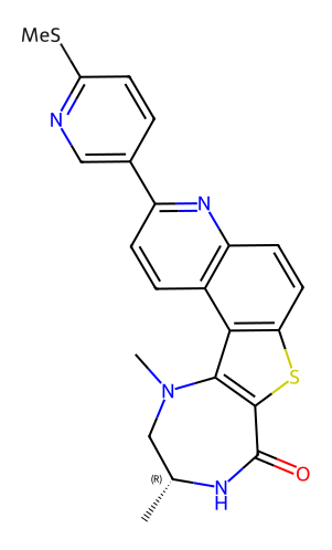 CSc1ccc(-c2ccc3c(ccc4sc5c(c43)N(C)C[C@@H](C)NC5=O)n2)cn1